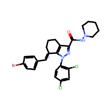 O=C(NN1CCCCC1)c1nn(-c2ccc(Cl)cc2Cl)c2c1CCC/C2=C\c1ccc(Br)cc1